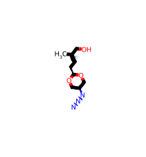 C/C(=C\C[C@H]1OC[C@@H](N=[N+]=[N-])CO1)CO